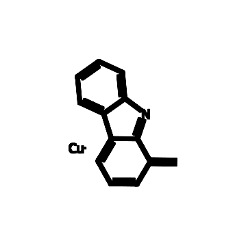 C=c1cccc2c1=Nc1ccccc1-2.[Cu]